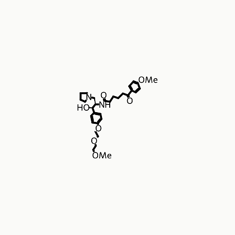 COCCOCCOc1ccc([C@@H](O)[C@@H](CN2CCCC2)NC(=O)CCCCC(=O)c2ccc(OC)cc2)cc1